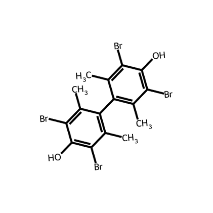 Cc1c(Br)c(O)c(Br)c(C)c1-c1c(C)c(Br)c(O)c(Br)c1C